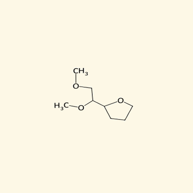 COCC(OC)C1CCCO1